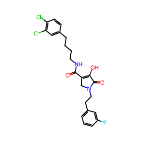 O=C(NCCCCc1ccc(Cl)c(Cl)c1)C1=C(O)C(=O)N(CCc2cccc(F)c2)C1